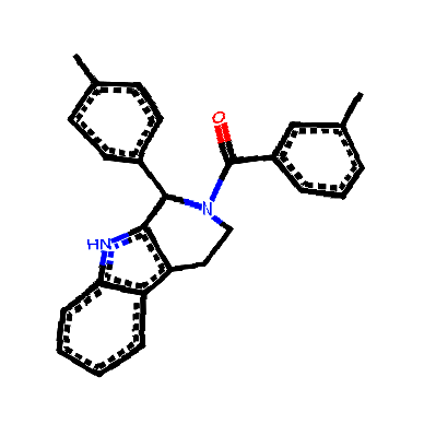 Cc1ccc(C2c3[nH]c4ccccc4c3CCN2C(=O)c2cccc(C)c2)cc1